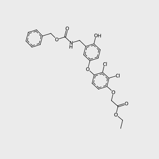 CCOC(=O)COc1ccc(Oc2ccc(O)c(CNC(=O)OCc3ccccc3)c2)c(Cl)c1Cl